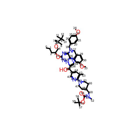 CCCC(CO[Si](C)(C)C(C)(C)C)Oc1nc(N(Cc2ccc(OC)cc2)Cc2ccc(OC)cc2)c2ncc(C(O)c3cnc(N4CCC(CN(C)C(=O)OC(C)(C)C)CC4)c(C)c3)n2n1